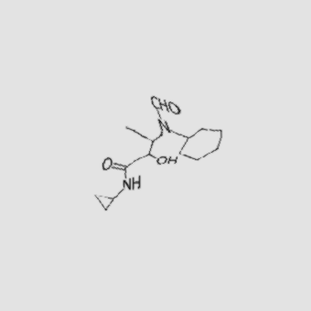 CC(C(O)C(=O)NC1CC1)N(C=O)C1CCCCC1